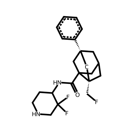 O=C(NC1CCNCC1(F)F)C12CC3C[C@](c4ccccc4)(C1)C[C@@]2(CF)C3